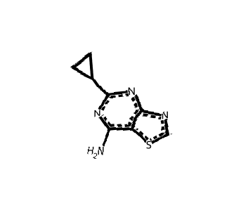 Nc1nc(C2CC2)nc2n[c]sc12